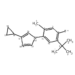 Cc1cc(F)c(C(C)(C)C)cc1-n1cnc(C2CC2)c1